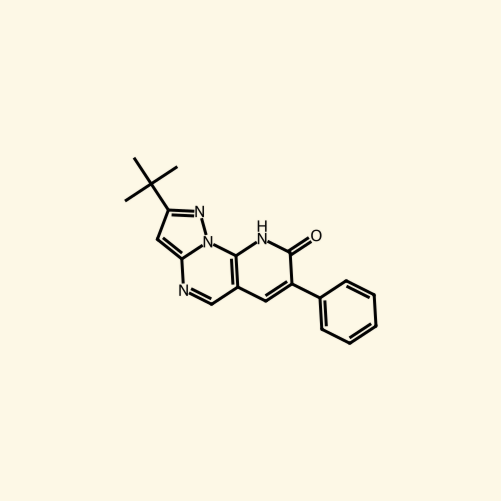 CC(C)(C)c1cc2ncc3cc(-c4ccccc4)c(=O)[nH]c3n2n1